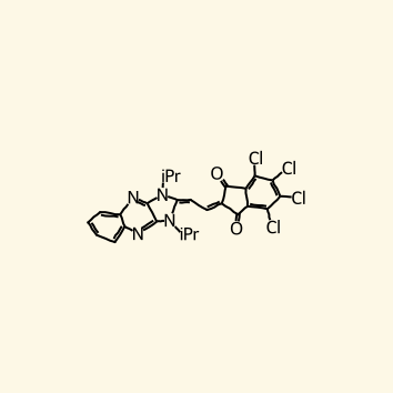 CC(C)N1C(=CC=C2C(=O)c3c(Cl)c(Cl)c(Cl)c(Cl)c3C2=O)N(C(C)C)c2nc3ccccc3nc21